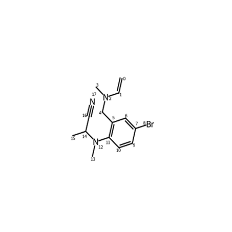 C=CN(C)Cc1cc(Br)ccc1N(C)C(C)C#N